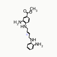 COC(=O)c1ccc(NC/C=C/CNc2ccccc2N)c(N)c1